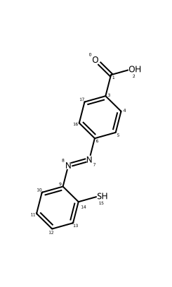 O=C(O)c1ccc(N=Nc2ccccc2S)cc1